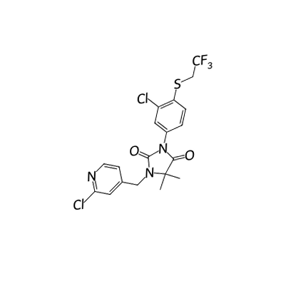 CC1(C)C(=O)N(c2ccc(SCC(F)(F)F)c(Cl)c2)C(=O)N1Cc1ccnc(Cl)c1